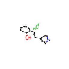 Cl.Oc1ccccc1/C=C/c1ccncc1